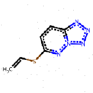 C=CSc1ccc2nnnn2n1